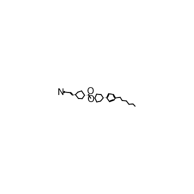 CCCCCCc1ccc([C@H]2CC[C@H](OC(=O)[C@H]3CC[C@H](C=CC#N)CC3)CC2)cc1